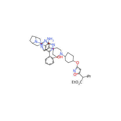 CCOC(=O)C(c1cc(OC2CCC(N3CCC(c4cnc(N5C6CCC5CN(c5cc(-c7ccccc7O)nnc5N)C6)nc4)CC3)CC2)no1)C(C)C